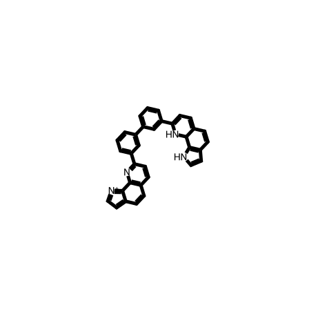 C1=Cc2cc[nH]c2C2NC(c3cccc(-c4cccc(-c5ccc6ccc7c(c6n5)=[N+]=CC=7)c4)c3)=CC=C12